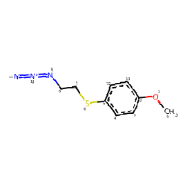 COc1ccc(SCCN=[N+]=[N-])cc1